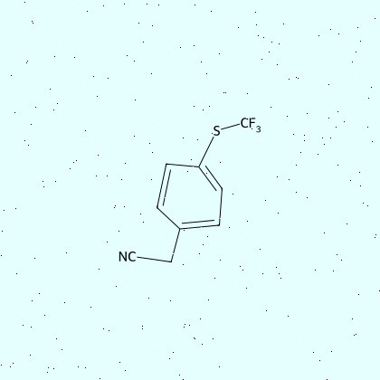 N#CCc1ccc(SC(F)(F)F)cc1